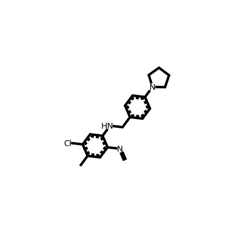 C=Nc1cc(C)c(Cl)cc1NCc1ccc(N2CCCC2)cc1